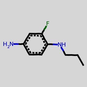 CCCNc1ccc(N)cc1F